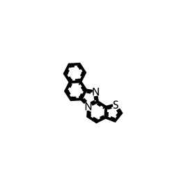 c1ccc2c(c1)ccc1c2nc2c3sccc3ccn12